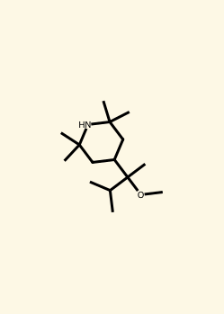 COC(C)(C(C)C)C1CC(C)(C)NC(C)(C)C1